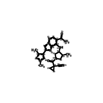 Cc1nn(C)cc1-c1cn2ncc(C(N)=O)c(N[C@@H]3CN(C(=O)C4(C#N)CC4)C[C@@H]3C)c2n1